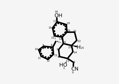 N#CC[C@@]1(O)CC[C@@]2(Cc3ccccc3)c3ccc(O)cc3CC[C@@H]2C1